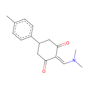 Cc1ccc(C2CC(=O)C(=CN(C)C)C(=O)C2)cc1